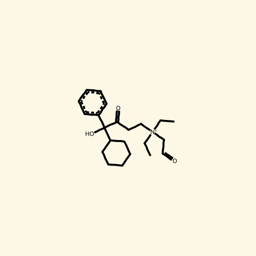 CC[N+](CC)(CC=O)CCC(=O)C(O)(c1ccccc1)C1CCCCC1